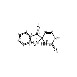 NC1(C(=O)c2ccccc2)C=C[N]C(=O)N1